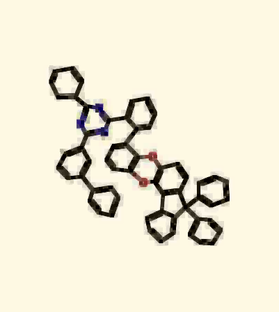 c1ccc(-c2cccc(-c3nc(-c4ccccc4)nc(-c4ccccc4-c4cccc5c4Oc4ccc6c(c4O5)-c4ccccc4C6(c4ccccc4)c4ccccc4)n3)c2)cc1